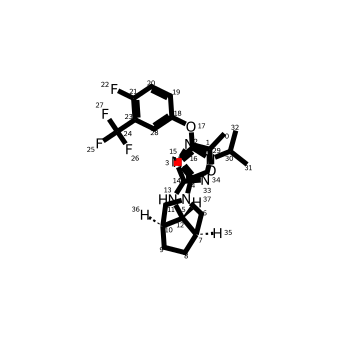 Cc1nnc(N2C[C@H]3CC[C@@H](C2)[C@@H]3Nc2nc(Oc3ccc(F)c(C(F)(F)F)c3)n(C(C)C)n2)o1